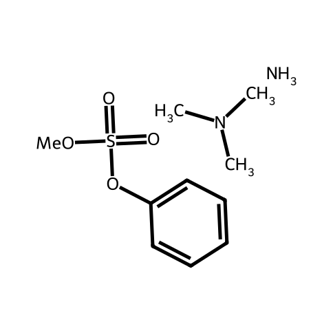 CN(C)C.COS(=O)(=O)Oc1ccccc1.N